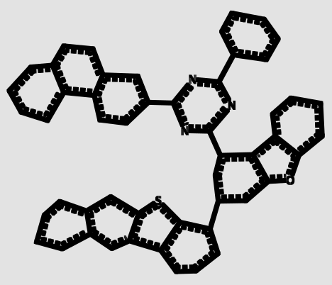 c1ccc(-c2nc(-c3ccc4c(ccc5ccccc54)c3)nc(-c3cc(-c4cccc5c4sc4cc6ccccc6cc45)cc4oc5ccccc5c34)n2)cc1